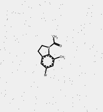 CC(=O)N1CCc2cc(Br)cc(C)c21